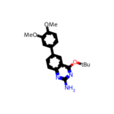 COc1ccc(-c2ccc3nc(N)nc(OC(C)(C)C)c3c2)cc1OC